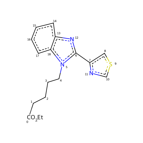 CCOC(=O)CCCCn1c(-c2cscn2)nc2ccccc21